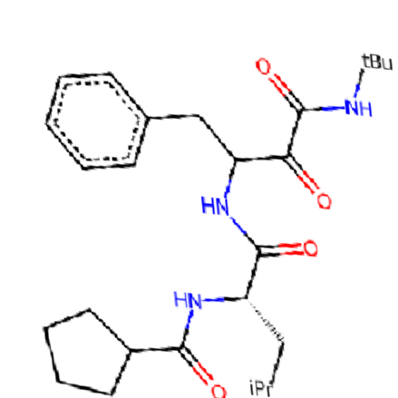 CC(C)C[C@H](NC(=O)C1CCCC1)C(=O)NC(Cc1ccccc1)C(=O)C(=O)NC(C)(C)C